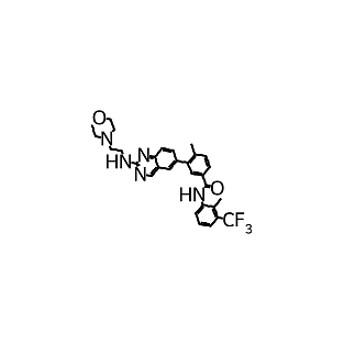 Cc1ccc(C(=O)Nc2cccc(C(F)(F)F)c2C)cc1-c1ccc2nc(NCCN3CCOCC3)ncc2c1